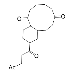 CC(=O)CCC(=O)C1CCC2C(=O)CCCCC(=O)CCC2C1